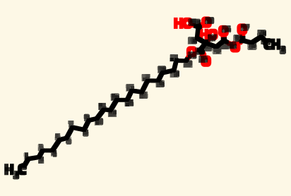 CCCCCCCCCCCCCCCCCCCCCCCOC(=O)C(O)(CC(=O)O)CC(=O)OC(=O)CCC